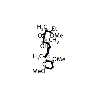 CC[C@H](OC)[C@@H](C)[C@@H]1O[C@H]1[C@H](O)[C@@H](C)/C=C/C=C(\C)[C@H]1O[C@@H](OC)CC[C@@H]1OC